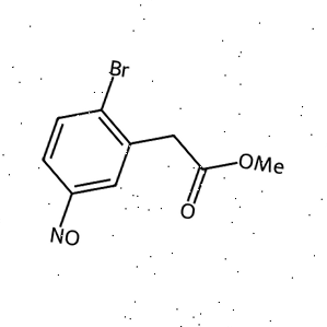 COC(=O)Cc1cc(N=O)ccc1Br